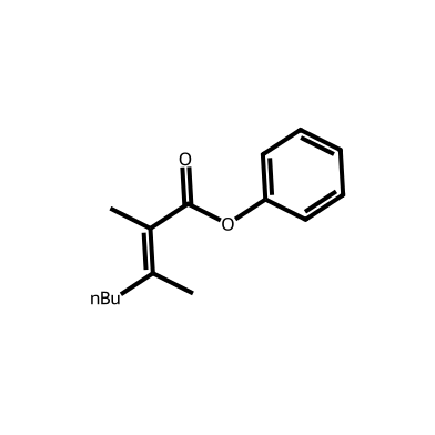 CCCCC(C)=C(C)C(=O)Oc1ccccc1